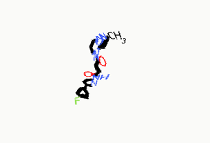 Cc1cc2n(n1)CCCN2C(=O)CCC(=O)Nc1ccc(-c2ccc(F)cc2)cn1